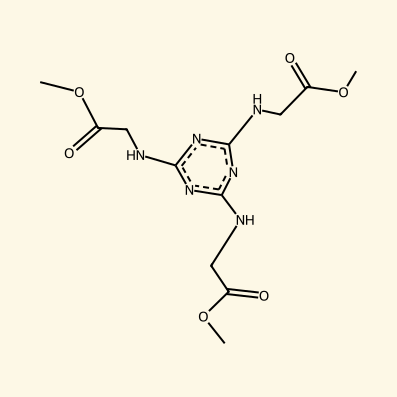 COC(=O)CNc1nc(NCC(=O)OC)nc(NCC(=O)OC)n1